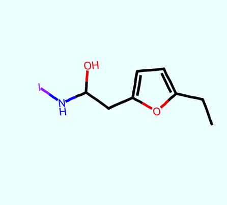 CCc1ccc(CC(O)NI)o1